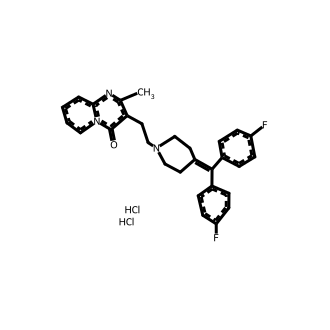 Cc1nc2ccccn2c(=O)c1CCN1CCC(=C(c2ccc(F)cc2)c2ccc(F)cc2)CC1.Cl.Cl